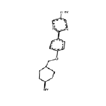 CCCCCCc1cnc(-c2ccc(OCC3CCC(CCC)CC3)cc2)nc1